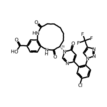 O=C1CCCCC[C@H](n2cnc(-c3cc(Cl)ccc3-n3cc(C(F)(F)F)nn3)cc2=O)C(=O)Nc2ccc(C(=O)O)cc2N1